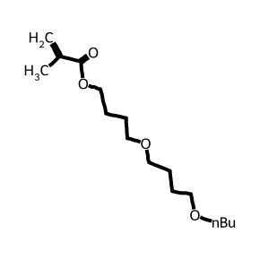 C=C(C)C(=O)OCCCCOCCCCOCCCC